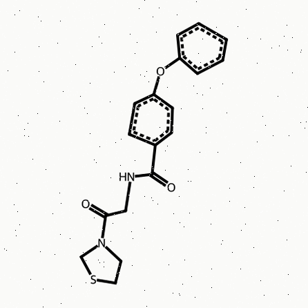 O=C(NCC(=O)N1CCSC1)c1ccc(Oc2ccccc2)cc1